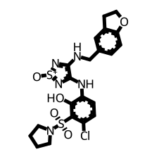 O=S(=O)(c1c(Cl)ccc(Nc2n[s+]([O-])nc2NCc2ccc3c(c2)CCO3)c1O)N1CCCC1